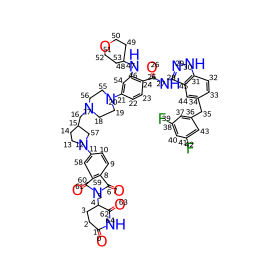 O=C1CCC(N2C(=O)c3ccc(N4CCC(CN5CCN(c6ccc(C(=O)Nc7n[nH]c8ccc(Cc9cc(F)cc(F)c9)cc78)c(NC7CCOCC7)c6)CC5)C4)cc3C2=O)C(=O)N1